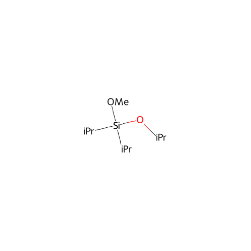 CO[Si](OC(C)C)(C(C)C)C(C)C